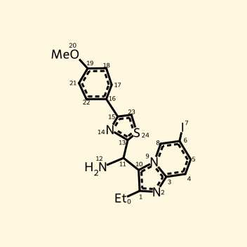 CCc1nc2ccc(I)cn2c1C(N)c1nc(-c2ccc(OC)cc2)cs1